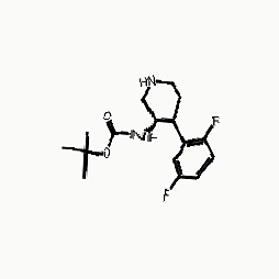 CC(C)(C)OC(=O)NC1CNCCC1c1cc(F)ccc1F